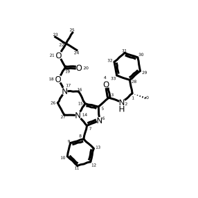 C[C@H](NC(=O)c1nc(-c2ccccc2)n2c1CN(OC(=O)OC(C)(C)C)CC2)c1ccccc1